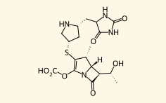 C[C@@H](O)[C@H]1C(=O)N2C(OC(=O)O)=C(S[C@@H]3CN[C@H](CC4NC(=O)NC4=O)C3)[C@H](C)[C@H]12